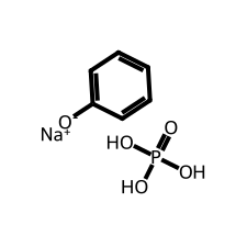 O=P(O)(O)O.[Na+].[O-]c1ccccc1